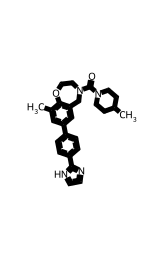 Cc1cc(-c2ccc(-c3ncc[nH]3)cc2)cc2c1OCCN(C(=O)N1CCC(C)CC1)C2